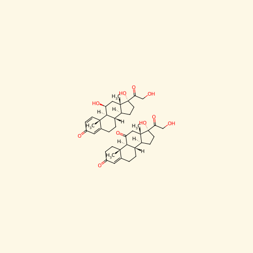 C[C@]12C=CC(=O)C=C1CC[C@@H]1[C@@H]2[C@@H](O)C[C@@]2(C)[C@H]1CC[C@]2(O)C(=O)CO.C[C@]12CCC(=O)C=C1CC[C@@H]1[C@@H]2C(=O)C[C@@]2(C)[C@H]1CC[C@]2(O)C(=O)CO